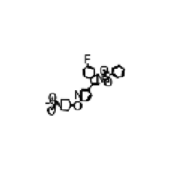 CS(=O)(=O)N1CCC(Oc2ccc(-c3cn(S(=O)(=O)c4ccccc4)c4cc(F)ccc34)cn2)CC1